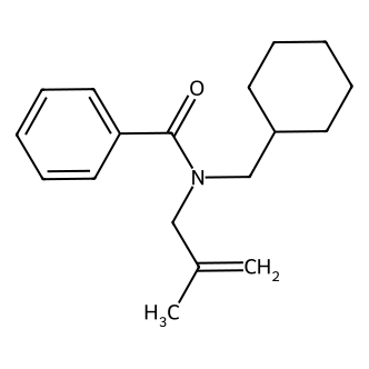 C=C(C)CN(CC1CCCCC1)C(=O)c1ccccc1